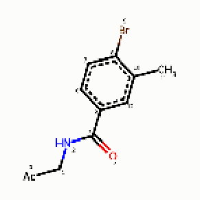 CC(=O)CNC(=O)c1ccc(Br)c(C)c1